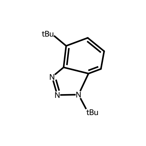 CC(C)(C)c1cccc2c1nnn2C(C)(C)C